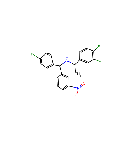 CC(NC(c1ccc(F)cc1)c1cccc([N+](=O)[O-])c1)c1ccc(F)c(F)c1